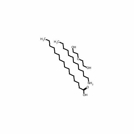 CCCCCCCCCCCCCCCC(=O)O.CCCCCCCCCCCCN.OCCOCCO